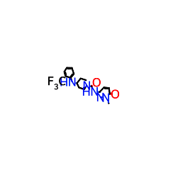 Cn1nc(NC(=O)N2CCC(Nc3ccccc3C(F)(F)F)CC2)ccc1=O